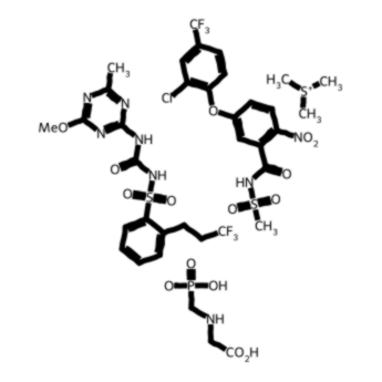 COc1nc(C)nc(NC(=O)NS(=O)(=O)c2ccccc2CCC(F)(F)F)n1.CS(=O)(=O)NC(=O)c1cc(Oc2ccc(C(F)(F)F)cc2Cl)ccc1[N+](=O)[O-].C[S+](C)C.O=C(O)CNCP(=O)([O-])O